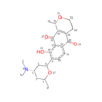 CC1C[C@H](N(C)C)CC(c2ccc3c(c2O)C(=O)C2=C(CCOC2C)C3=O)O1